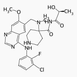 COc1cc2ncnc(Nc3cccc(Cl)c3F)c2cc1CN(C)C1(C(=O)NC(=O)[C@H](C)O)CCNCC1